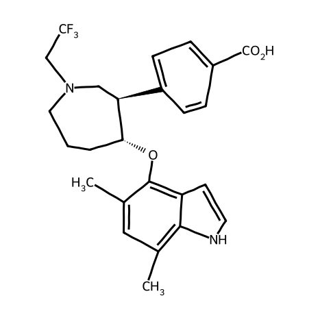 Cc1cc(C)c2[nH]ccc2c1O[C@@H]1CCCN(CC(F)(F)F)C[C@H]1c1ccc(C(=O)O)cc1